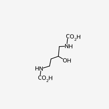 O=C(O)NCCC(O)CNC(=O)O